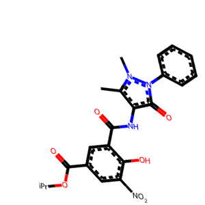 Cc1c(NC(=O)c2cc(C(=O)OC(C)C)cc([N+](=O)[O-])c2O)c(=O)n(-c2ccccc2)n1C